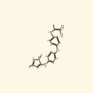 CC(Oc1ccc(Oc2ccc(Oc3cc(C)nn3C)cc2)cc1)=C(Cl)Cl